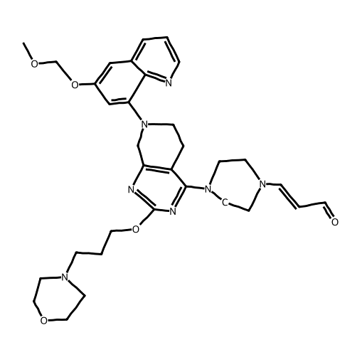 COCOc1cc(N2CCc3c(nc(OCCCN4CCOCC4)nc3N3CCN(C=CC=O)CC3)C2)c2ncccc2c1